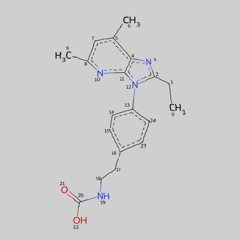 CCc1nc2c(C)cc(C)nc2n1-c1ccc(CCNC(=O)O)cc1